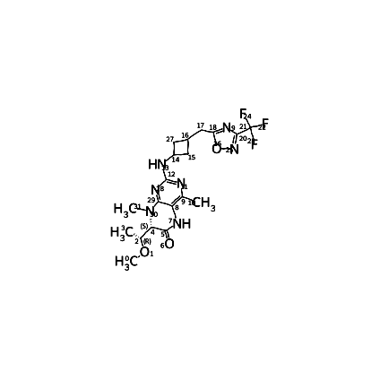 CO[C@H](C)[C@H]1C(=O)Nc2c(C)nc(NC3CC(Cc4nc(C(F)(F)F)no4)C3)nc2N1C